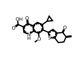 C=C1CCc2sc(-c3c(C4CC4)cc4c(=O)c(C(=O)O)c[nH]c4c3OC)cc2C1=O